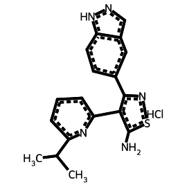 CC(C)c1cccc(-c2c(-c3ccc4[nH]ncc4c3)nsc2N)n1.Cl